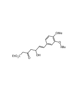 CCCCOc1cc(/C=C/C(O)CC(=O)CC(=O)OCC)ccc1OC